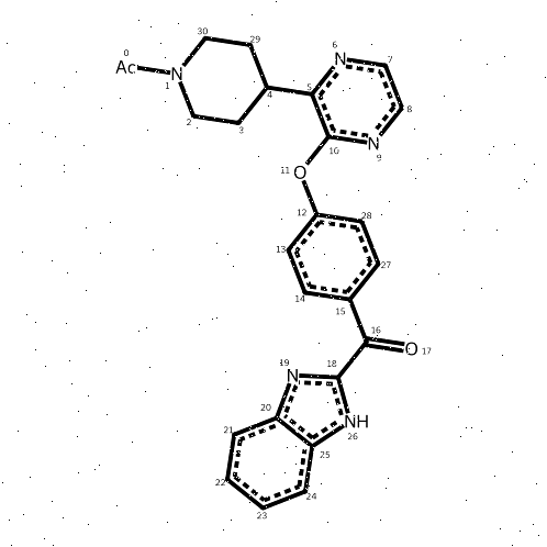 CC(=O)N1CCC(c2nccnc2Oc2ccc(C(=O)c3nc4ccccc4[nH]3)cc2)CC1